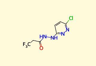 O=C(CC(F)(F)F)NNc1ccc(Cl)nn1